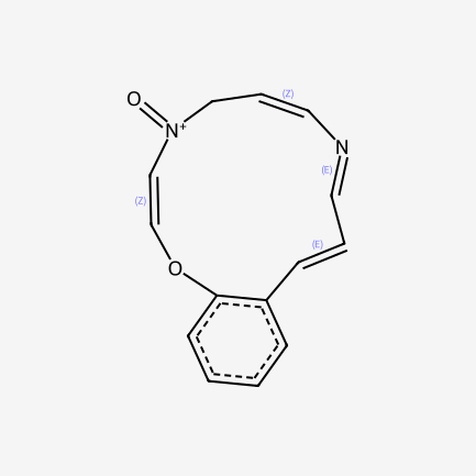 O=[N+]1/C=C\Oc2ccccc2/C=C/C=N/C=C\C1